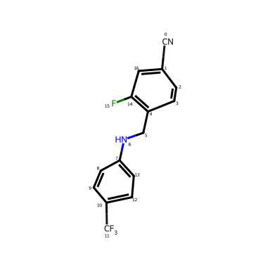 N#Cc1ccc(CNc2ccc(C(F)(F)F)cc2)c(F)c1